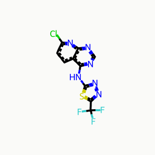 FC(F)(F)c1nnc(Nc2ncnc3nc(Cl)ccc23)s1